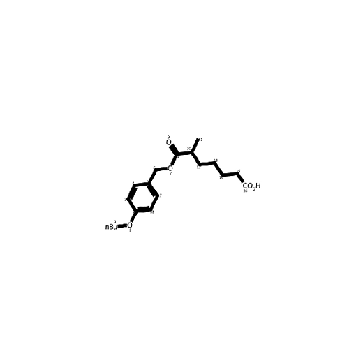 CCCCOc1ccc(COC(=O)C(C)CCCCC(=O)O)cc1